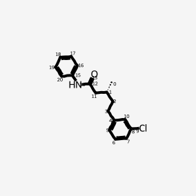 C[C@H](CCc1cccc(Cl)c1)CC(=O)Nc1ccccc1